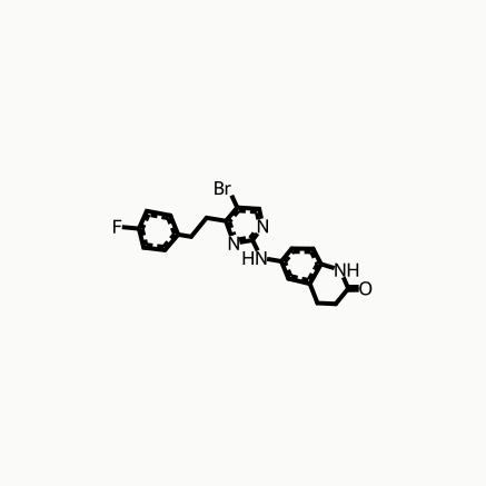 O=C1CCc2cc(Nc3ncc(Br)c(CCc4ccc(F)cc4)n3)ccc2N1